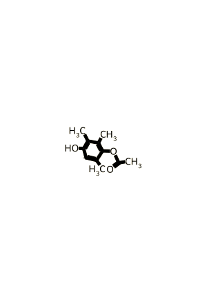 CC(=O)Oc1c(C)[c]c(O)c(C)c1C